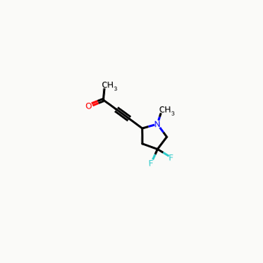 CC(=O)C#CC1CC(F)(F)CN1C